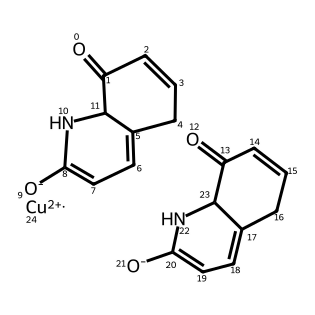 O=C1C=CCC2=CC=C([O-])NC12.O=C1C=CCC2=CC=C([O-])NC12.[Cu+2]